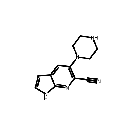 N#Cc1nc2[nH]ccc2cc1N1CCNCC1